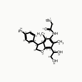 Cc1c(NC(=O)CC(C)(C)C)c(C)c2c(c1C(O)CO)OCC2c1ccc(C(C)C)cc1